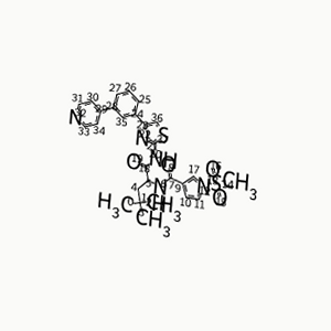 CC(C)(C)CC(NC(=O)c1ccn(S(C)(=O)=O)c1)C(=O)Nc1nc(-c2cccc(-c3ccncc3)c2)cs1